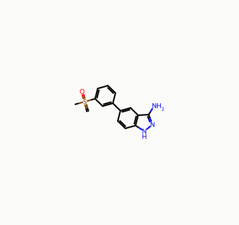 C=S(C)(=O)c1cccc(-c2ccc3[nH]nc(N)c3c2)c1